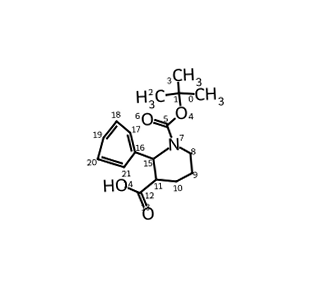 CC(C)(C)OC(=O)N1CCCC(C(=O)O)C1c1ccccc1